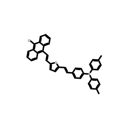 Cc1ccc(N(c2ccc(C)cc2)c2ccc(C=Cc3ccc(C=Cc4c5ccccc5c(Cl)c5ccccc45)o3)cc2)cc1